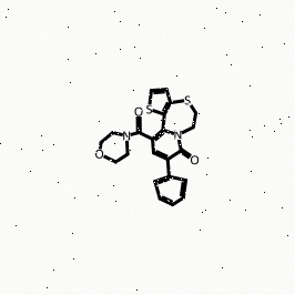 O=C(c1cc(-c2ccccc2)c(=O)n2c1-c1sccc1SCC2)N1CCOCC1